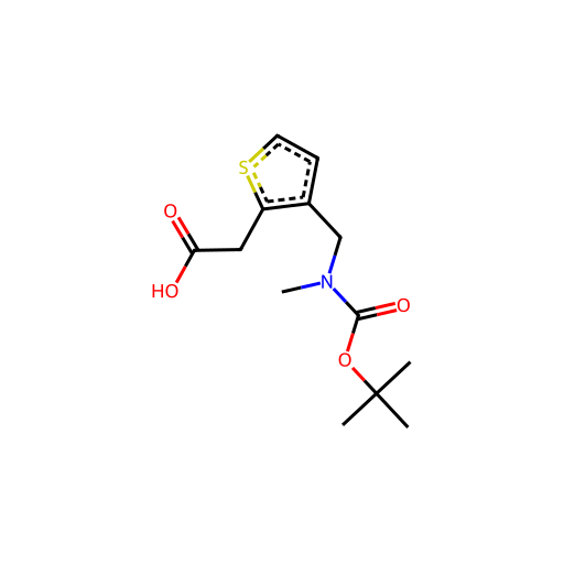 CN(Cc1ccsc1CC(=O)O)C(=O)OC(C)(C)C